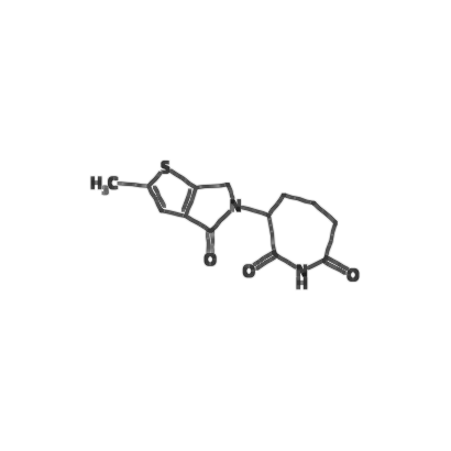 Cc1cc2c(s1)CN(C1CCCC(=O)NC1=O)C2=O